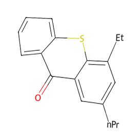 CCCc1cc(CC)c2sc3ccccc3c(=O)c2c1